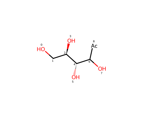 OC[C@@H](O)[C@@H](O)[CH](O)[Ac]